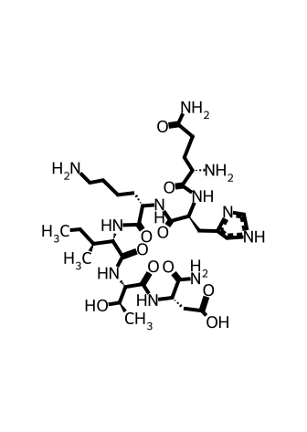 CC[C@H](C)[C@H](NC(=O)[C@H](CCCCN)NC(=O)[C@H](Cc1c[nH]cn1)NC(=O)[C@@H](N)CCC(N)=O)C(=O)N[C@H](C(=O)N[C@@H](CC(=O)O)C(N)=O)[C@@H](C)O